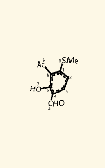 CSc1ccc(C=O)c(O)c1C(C)=O